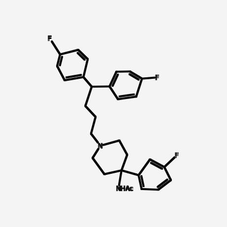 CC(=O)NC1(c2cccc(F)c2)CCN(CCCC(c2ccc(F)cc2)c2ccc(F)cc2)CC1